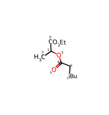 CCOC(=O)C(C)OC(=O)CC(C)CC